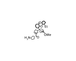 CCc1ccccc1Oc1c(Cl)cccc1[C@](O)(CCCCOC)C1CCCN(C(=O)[C@@H]2CC[C@H](N)C2)C1